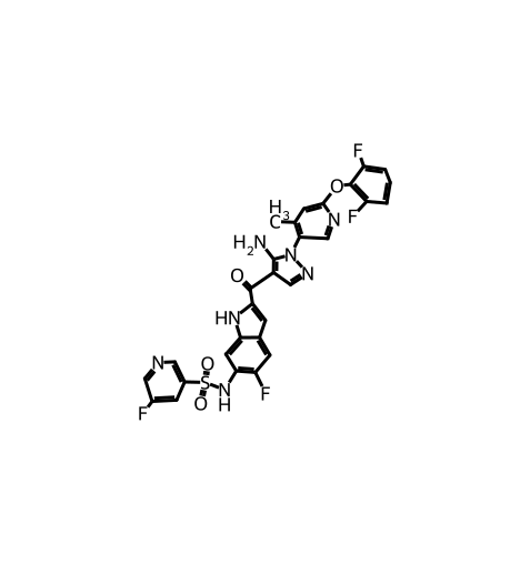 Cc1cc(Oc2c(F)cccc2F)ncc1-n1ncc(C(=O)c2cc3cc(F)c(NS(=O)(=O)c4cncc(F)c4)cc3[nH]2)c1N